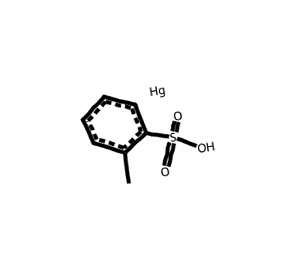 Cc1ccccc1S(=O)(=O)O.[Hg]